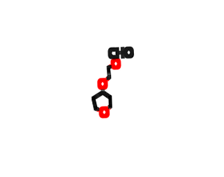 O=COCCOC1CCOCC1